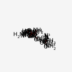 CC(C)[C@H](NC(=O)CN=[N+]=[N-])C(=O)N[C@@H](CCCNC(N)=O)C(=O)Nc1ccc(COC(=O)NCCNC(=O)O[C@@H]2[C@@H]3OP(=O)(O)OCC4O[C@@H](n5cnc6c(N)ncnc65)[C@H](O)[C@@H]4OP(=O)(O)OC[C@H]3O[C@H]2n2cnc3c(=O)[nH]c(N)nc32)cc1